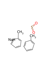 Cc1ccccc1.Cc1ccccc1.O=S=O.[NaH]